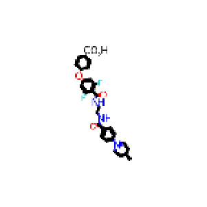 CC1CCN(c2ccc(C(=O)NCCNC(=O)c3c(F)cc(O[C@H]4CC[C@@H](C(=O)O)CC4)cc3F)cc2)CC1